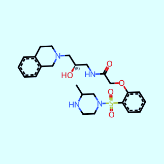 CC1CN(S(=O)(=O)c2ccccc2OCC(=O)NC[C@@H](O)CN2CCc3ccccc3C2)CCN1